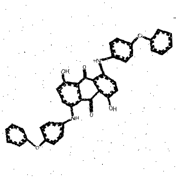 O=C1c2c(O)ccc(Nc3ccc(Oc4ccccc4)cc3)c2C(=O)c2c(O)ccc(Nc3ccc(Oc4ccccc4)cc3)c21